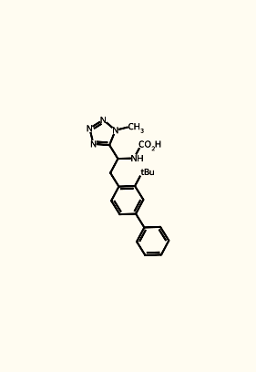 Cn1nnnc1C(Cc1ccc(-c2ccccc2)cc1C(C)(C)C)NC(=O)O